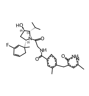 Cc1cc(Cc2ccc(C(=O)NCC(=O)N3[C@H](C4(C)C=C(F)C=CC4)C[C@@H](O)[C@@H]3C(C)C)cc2C)c(=O)[nH]n1